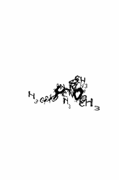 CCOCCOc1ccnc(-c2nc3cc(OC)ccc3n2SC)c1C